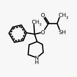 CC(S)C(=O)OC(C)(c1ccccc1)C1CCNCC1